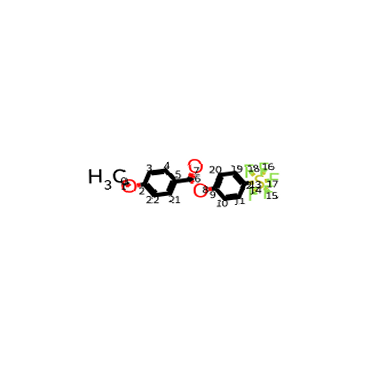 COc1ccc(C(=O)Oc2ccc(S(F)(F)(F)(F)F)cc2)cc1